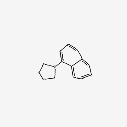 c1ccc2c(P3CCCC3)cccc2c1